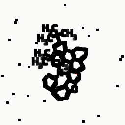 CC(C)(C)c1cc(-c2cccc3cccc(-c4ccccc4N(c4ccccc4)c4cccc5oc6ccccc6c45)c23)cc(C(C)(C)C)c1